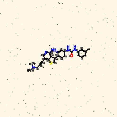 Cc1cccc(NC(=O)Nc2ccc(-c3csc4c(C#CCN(C(C)C)C(C)C)cnc(N)c34)cc2)c1